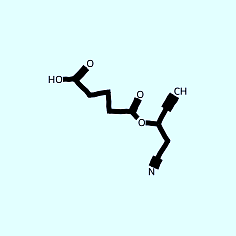 C#CC(CC#N)OC(=O)CCCC(=O)O